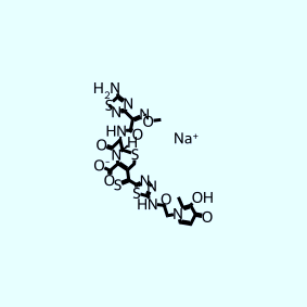 CO/N=C(\C(=O)N[C@@H]1C(=O)N2C(C(=O)[O-])=C(C(=S)c3nnc(NC(=O)Cn4ccc(=O)c(O)c4C)s3)CS[C@@H]12)c1nsc(N)n1.[Na+]